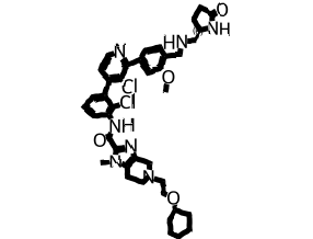 COc1cc(-c2nccc(-c3cccc(NC(=O)c4nc5c(n4C)CCN(CCOC4CCCCC4)C5)c3Cl)c2Cl)ccc1CNC[C@H]1CCC(=O)N1